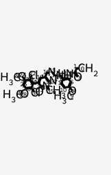 C=CC(=O)Nc1cc(OC)ccc1Nc1ncc2cc(-c3c(Cl)c(OC)cc(OC)c3Cl)c(=O)n(C)c2n1